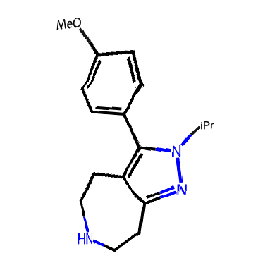 COc1ccc(-c2c3c(nn2C(C)C)CCNCC3)cc1